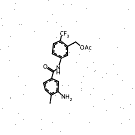 CC(=O)OCc1cc(NC(=O)c2ccc(C)c(N)c2)ccc1C(F)(F)F